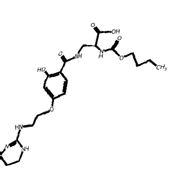 CCCCOC(=O)N[C@@H](CNC(=O)c1ccc(OCCNC2=NCCCN2)cc1O)C(=O)O